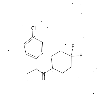 CC(NC1CCC(F)(F)CC1)c1ccc(Cl)cc1